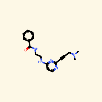 CN(C)CC#Cc1nccc(NCCNC(=O)c2ccccc2)n1